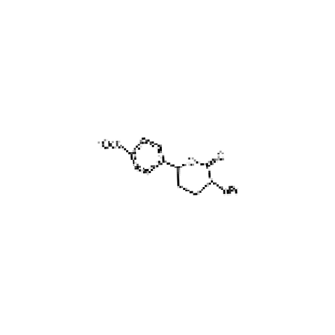 CCCCCCCCc1ccc(C2CCC(CCC)C(=O)O2)cc1